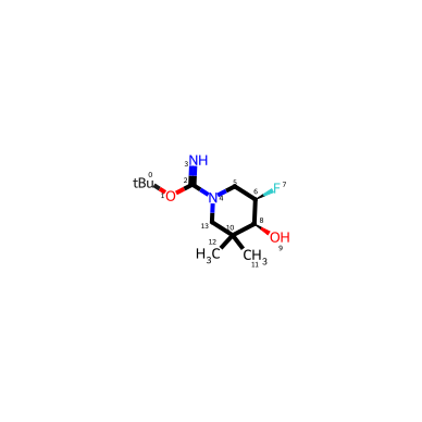 CC(C)(C)OC(=N)N1C[C@@H](F)[C@@H](O)C(C)(C)C1